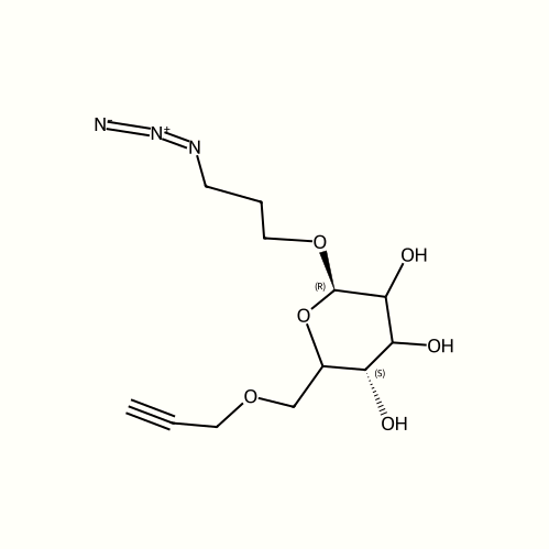 C#CCOCC1O[C@@H](OCCCN=[N+]=[N-])C(O)C(O)[C@@H]1O